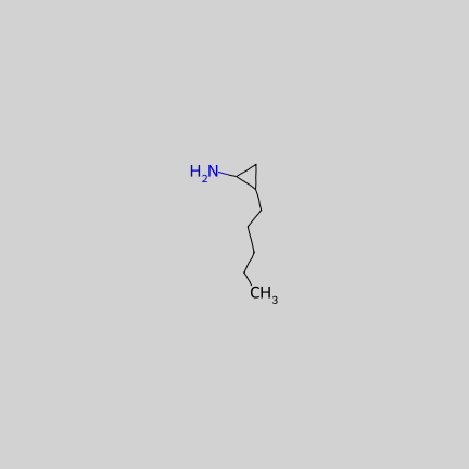 CCCCCC1CC1N